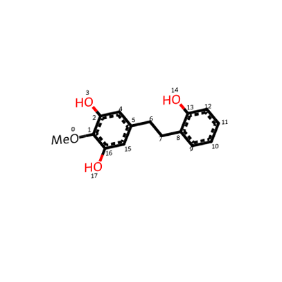 COc1c(O)cc(CCc2ccccc2O)cc1O